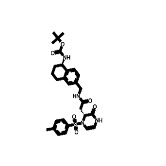 Cc1ccc(S(=O)(=O)N2C=CNC(=O)[C@H]2CC(=O)NCc2ccc3c(c2)CCC[C@H]3NC(=O)OC(C)(C)C)cc1